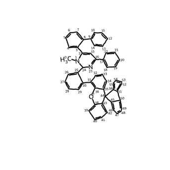 CN1C(c2ccccc2-c2ccccc2)=CC(c2ccccc2)=NC1c1ccccc1-c1cccc2c1Oc1ccccc1C21c2ccccc2-c2ccccc21